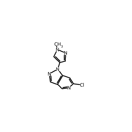 Cn1cc(-n2ncc3cnc(Cl)cc32)cn1